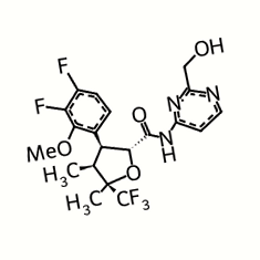 COc1c([C@H]2[C@H](C(=O)Nc3ccnc(CO)n3)O[C@@](C)(C(F)(F)F)[C@H]2C)ccc(F)c1F